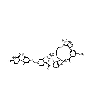 Cc1cc2cc(n1)-c1cnn(C)c1OCCC[C@@H](C)CN1/C(=N/C2=O)Nc2ccc(C(=O)N(C)[C@H]3CCN(CCc4cc(F)c([C@H]5CCC(=O)NC5=O)c(F)c4)C[C@H]3C)cc21